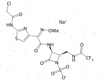 CON=C(C(=O)N[C@@H]1C(=O)N(S(=O)(=O)[O-])[C@@H]1CNC(=O)C(F)(F)F)c1csc(NC(=O)CCl)n1.[Na+]